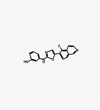 Oc1cccc(Nc2ncc(-c3ccc4cnccc4c3F)o2)c1